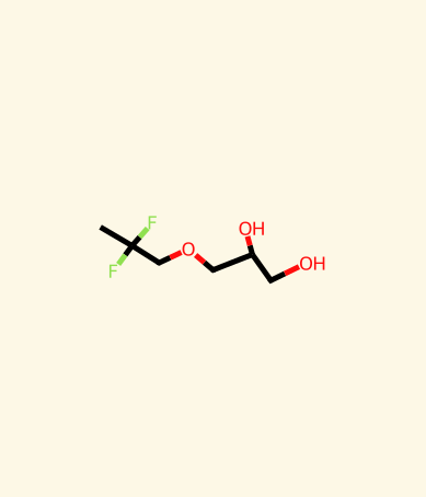 CC(F)(F)COCC(O)CO